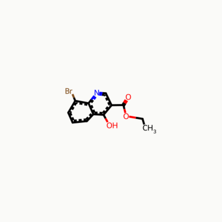 CCOC(=O)c1cnc2c(Br)cccc2c1O